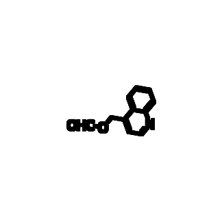 O=COCc1ccnc2ccccc12